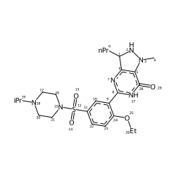 CCCC1NN(C)c2c1nc(-c1cc(S(=O)(=O)N3CCN(C(C)C)CC3)ccc1OCC)[nH]c2=O